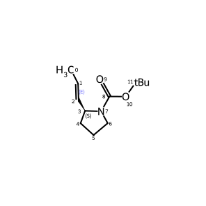 C/C=C/[C@@H]1CCCN1C(=O)OC(C)(C)C